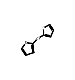 c1cs[c]([Zn][c]2cccs2)c1